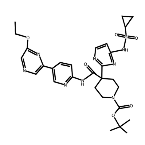 CCOc1cncc(-c2ccc(NC(=O)C3(c4nccc(NS(=O)(=O)C5CC5)n4)CCN(C(=O)OC(C)(C)C)CC3)nc2)n1